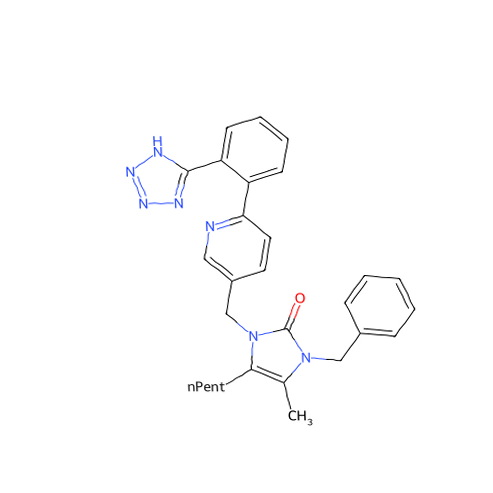 CCCCCc1c(C)n(Cc2ccccc2)c(=O)n1Cc1ccc(-c2ccccc2-c2nnn[nH]2)nc1